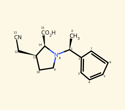 C[C@@H](c1ccccc1)N1CC[C@@H](CC#N)[C@H]1C(=O)O